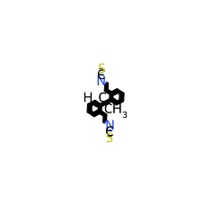 CC(C)(c1ccccc1CCN=C=S)c1ccccc1CCN=C=S